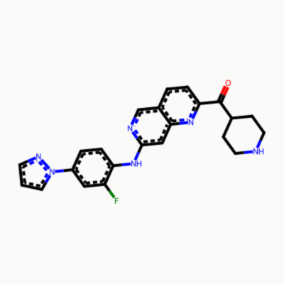 O=C(c1ccc2cnc(Nc3ccc(-n4cccn4)cc3F)cc2n1)C1CCNCC1